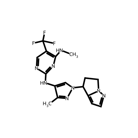 CNc1nc(Nc2cn(C3CCn4nccc43)nc2C)ncc1C(F)(F)F